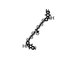 CC(=O)N(CCOCCOCCOc1ccc2[nH]c3c(C)c4ccncc4c(C)c3c2c1)CCOCCOCCOc1ccc2[nH]c3c(C)c4ccncc4c(C)c3c2c1